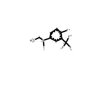 CCN(I)c1ccc(F)c(C(F)(F)F)c1